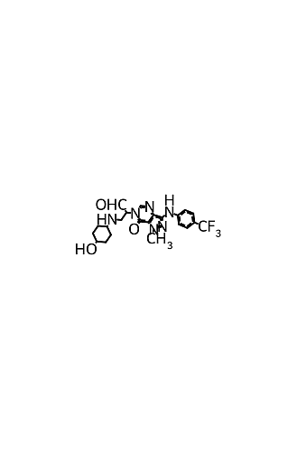 Cn1nc(Nc2ccc(C(F)(F)F)cc2)c2ncn(C(C=O)CN[C@H]3CC[C@H](O)CC3)c(=O)c21